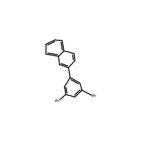 CC(C)c1[c]c(C(C)C)cc(-c2ccc3ccccc3c2)c1